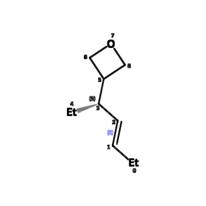 CC/C=C/[C@H](CC)C1COC1